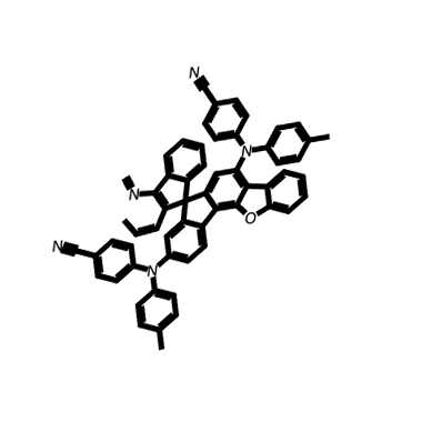 C=NC1=C(/C=C\C)C2(c3ccccc31)c1cc(N(c3ccc(C)cc3)c3ccc(C#N)cc3)ccc1-c1c2cc(N(c2ccc(C)cc2)c2ccc(C#N)cc2)c2c1oc1ccccc12